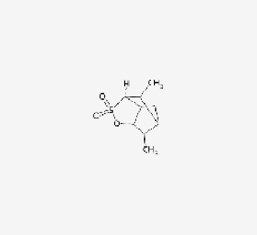 CC1C2CC3C1OS(=O)(=O)[C@H]3C2C